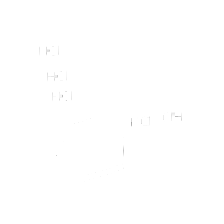 Cl.Cl.Cl.Cl.Cl.c1ccccc1